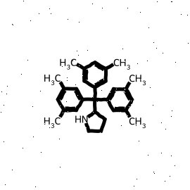 Cc1cc(C)cc(C(c2cc(C)cc(C)c2)(c2cc(C)cc(C)c2)C2CCCN2)c1